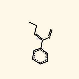 C=N/C(=C\CC)c1ccccc1